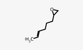 [CH2]C=CCCCC1CO1